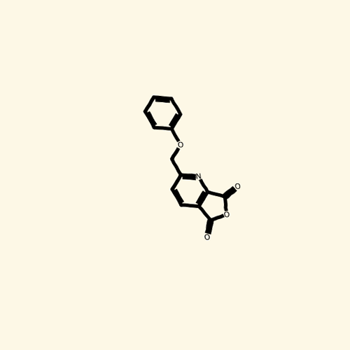 O=C1OC(=O)c2nc(COc3ccccc3)ccc21